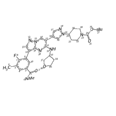 CNC(=O)c1cc(C)c(F)c(-c2cnn3cc(-c4cnn(C5CCN(C(=O)OC(C)(C)C)CC5)c4)c(NC4CCOC4)nc23)c1